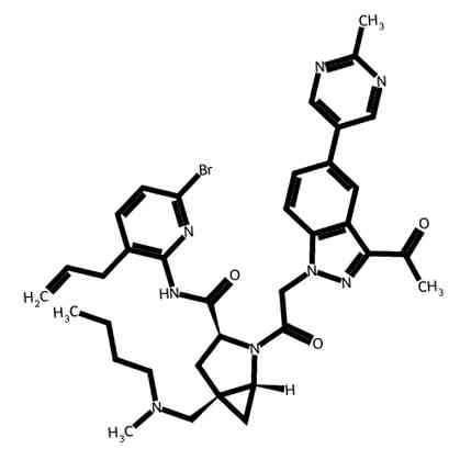 C=CCc1ccc(Br)nc1NC(=O)[C@@H]1C[C@@]2(CN(C)CCCC)C[C@H]2N1C(=O)Cn1nc(C(C)=O)c2cc(-c3cnc(C)nc3)ccc21